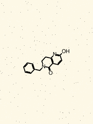 O=C1c2ccc(O)nc2CCN1Cc1ccccc1